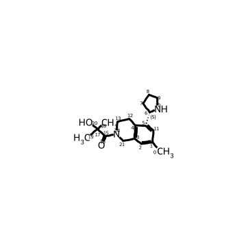 Cc1cc2c(c([C@@H]3CCCN3)c1)CCN(C(=O)C(C)(C)O)C2